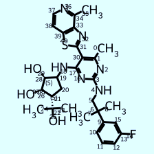 Cc1nc(NCC(C)(C)c2cccc(F)c2)nc(NC2C[C@H](C(C)(C)O)[C@@H](O)[C@H]2O)c1-c1nc2c(C)nccc2s1